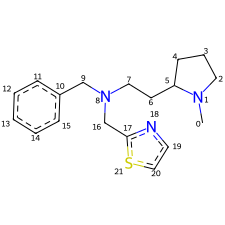 CN1CCCC1CCN(Cc1ccccc1)Cc1nccs1